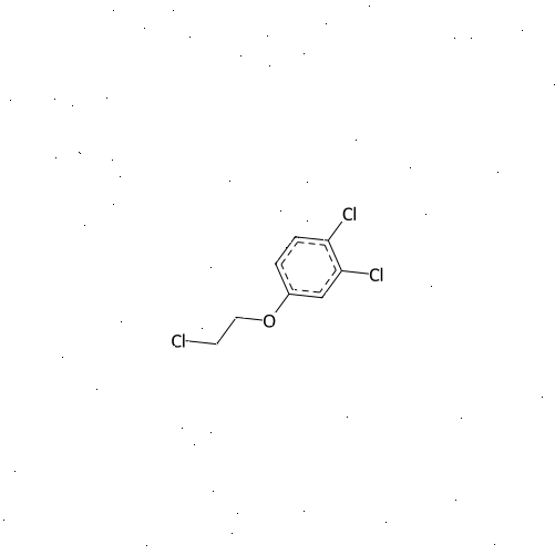 ClCCOc1ccc(Cl)c(Cl)c1